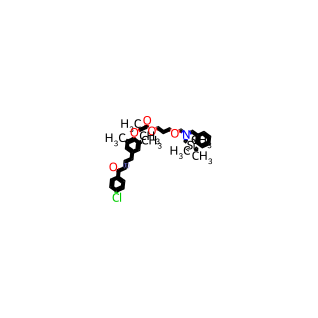 CC[Si](C)(C)CN(COCCCOC(=O)C(C)(C)Oc1c(C)cc(C/C=C/C(=O)c2ccc(Cl)cc2)cc1C)Cc1ccccc1